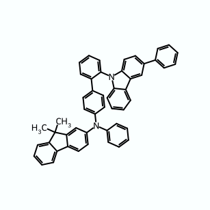 CC1(C)c2ccccc2-c2ccc(N(c3ccccc3)c3ccc(-c4ccccc4-n4c5ccccc5c5cc(-c6ccccc6)ccc54)cc3)cc21